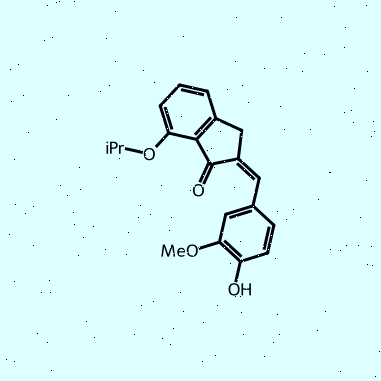 COc1cc(C=C2Cc3cccc(OC(C)C)c3C2=O)ccc1O